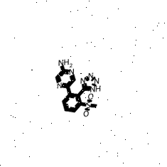 CS(=O)(=O)c1cccc(-c2cnc(N)cn2)c1-c1nnn[nH]1